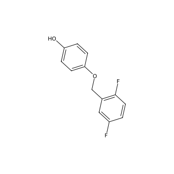 Oc1ccc(OCc2cc(F)ccc2F)cc1